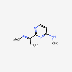 CCOC(=O)/C(=N\OC)c1nccc(NC=O)n1